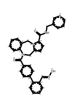 O=C(NCc1cccnc1)c1ccc2n1Cc1ccccc1N(C(=O)c1ccc(-c3ccccc3C=NO)cc1)C2